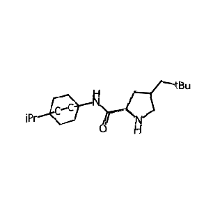 CC(C)C12CCC(NC(=O)[C@H]3CC(CC(C)(C)C)CN3)(CC1)CC2